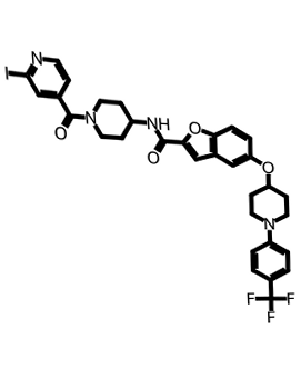 O=C(NC1CCN(C(=O)c2ccnc(I)c2)CC1)c1cc2cc(OC3CCN(c4ccc(C(F)(F)F)cc4)CC3)ccc2o1